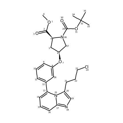 COC(=O)[C@@H]1C[C@H](Oc2cccc(-c3cccc4ncc(CCCCl)n34)c2)CN1C(=O)OC(C)(C)C